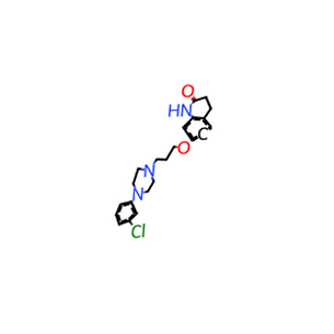 O=C1CCc2ccc(OCCCN3CCN(c4cccc(Cl)c4)CC3)cc2N1